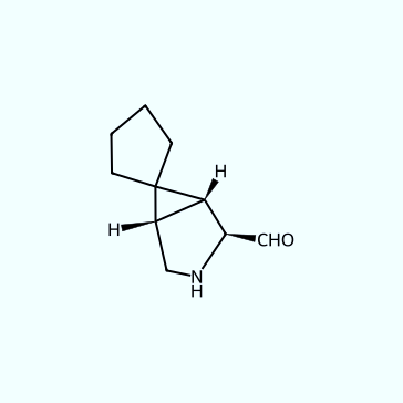 O=C[C@H]1NC[C@H]2[C@@H]1C21CCCC1